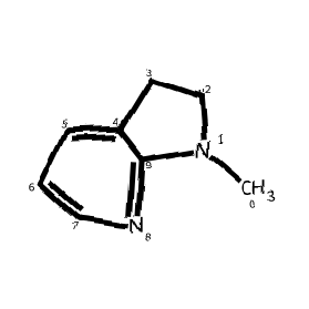 CN1[C]Cc2cccnc21